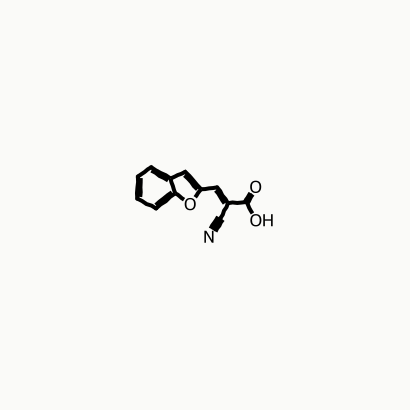 N#C/C(=C\c1cc2ccccc2o1)C(=O)O